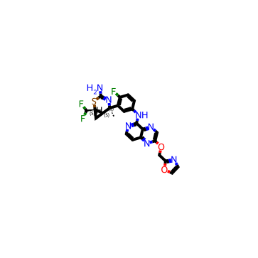 C[C@@]1(c2cc(Nc3nccc4nc(OCc5ncco5)cnc34)ccc2F)N=C(N)S[C@@]2(C(F)F)C[C@@H]12